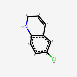 Clc1ccc2c(c1)C=CC[N]2